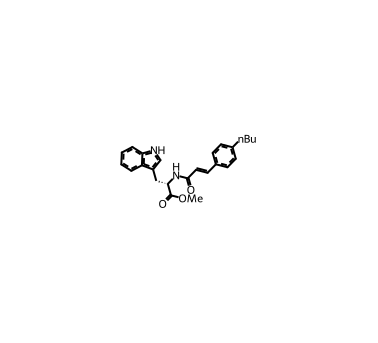 CCCCc1ccc(/C=C/C(=O)N[C@@H](Cc2c[nH]c3ccccc23)C(=O)OC)cc1